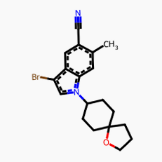 Cc1cc2c(cc1C#N)c(Br)cn2C1CCC2(CCCO2)CC1